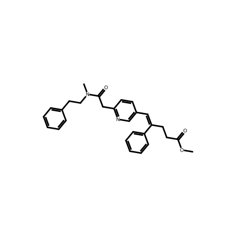 COC(=O)CCC(=Cc1ccc(CC(=O)N(C)CCc2ccccc2)nc1)c1ccccc1